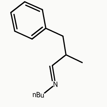 CC[CH]CN=CC(C)Cc1ccccc1